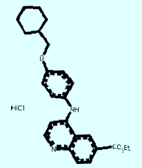 CCOC(=O)c1ccc2nccc(Nc3ccc(OCC4CCCCC4)cc3)c2c1.Cl